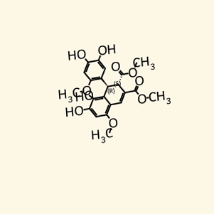 COC(=O)C1=Cc2c(OC)cc(O)c(O)c2[C@@H](c2cc(O)c(O)cc2OC)[C@@H]1C(=O)OC